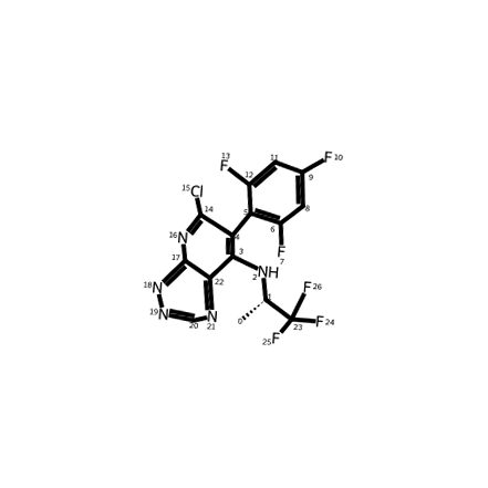 C[C@H](Nc1c(-c2c(F)cc(F)cc2F)c(Cl)nc2nncnc12)C(F)(F)F